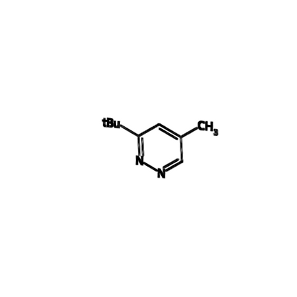 Cc1cnnc(C(C)(C)C)c1